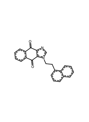 O=C1c2ccccc2C(=O)c2c1ncn2CCc1cccc2ccccc12